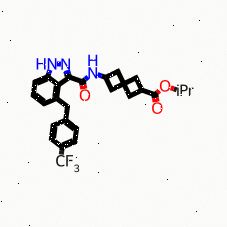 CC(C)OC(=O)C1CC2(CC(NC(=O)c3n[nH]c4cccc(Cc5ccc(C(F)(F)F)cc5)c34)C2)C1